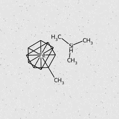 C[C]12[CH]3[CH]4[CH]5[CH]1[Fe]45321678[CH]2[CH]1[CH]6[CH]7[CH]28.C[SiH](C)C